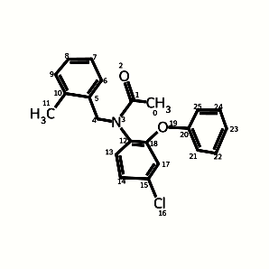 CC(=O)N(Cc1ccccc1C)c1ccc(Cl)cc1Oc1ccccc1